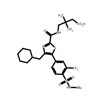 CC(C)(CNC(=O)c1nc(CC2CCCCC2)c(-c2ccc(S(=O)(=O)NC(C)(C)C)c(C(F)(F)F)c2)s1)CC(=O)O